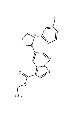 CCOC(=O)c1cnn2ccc(N3CCC[C@@H]3c3cccc(F)c3)nc12